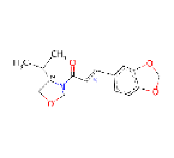 CC(C)[C@H]1COCN1C(=O)/C=C/c1ccc2c(c1)OCO2